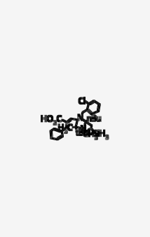 CCCCC1(CO[SiH3])N(Cc2ccccc2Cl)C(C=C(Cc2ccccc2)C(=O)O)C(C)(C(C)(C)C)N1C